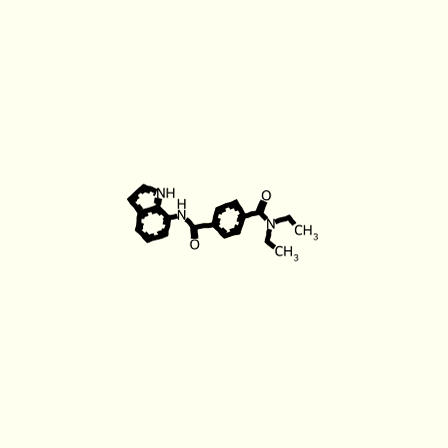 CCN(CC)C(=O)c1ccc(C(=O)Nc2cccc3cc[nH]c23)cc1